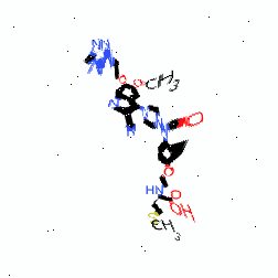 COc1cc2c(N3CCN(N(C=O)c4ccc(OCCN[C@@H](CCSC)C(=O)O)cc4)CC3)c(C#N)cnc2cc1OCCn1ncnn1